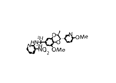 [2H]C([2H])(Nc1ncccc1[N+](=O)[O-])c1cc(OC)c2c(c1)O[C@@H](C)[C@H](c1ccc(OC)nc1)O2